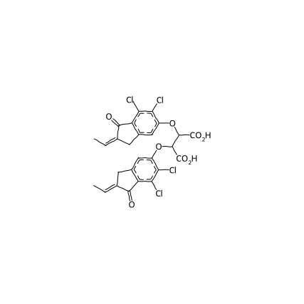 CC=C1Cc2cc(OC(C(=O)O)C(Oc3cc4c(c(Cl)c3Cl)C(=O)C(=CC)C4)C(=O)O)c(Cl)c(Cl)c2C1=O